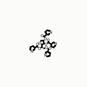 O=C(OC[C@@H](OC(=O)c1cccnc1)[C@H]1OC[C@H](OC(=O)c2cccnc2)[C@H]1OC(=O)c1cccnc1)c1cccnc1